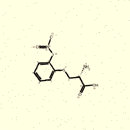 N[C@@H](CSc1ccccc1S[N+](=O)[O-])C(=O)O